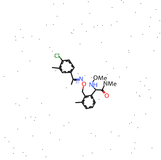 CNC(=O)C(NOC)c1cccc(C)c1CO/N=C(\C)c1ccc(Cl)c(C)c1